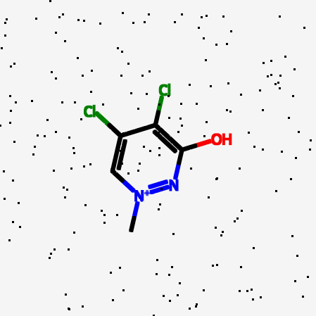 C[n+]1cc(Cl)c(Cl)c(O)n1